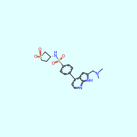 CN(C)Cc1cc2c(-c3ccc(S(=O)(=O)N[C@@H]4CCS(=O)(=O)C4)cc3)ccnc2[nH]1